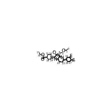 CCOCCn1c(=O)c(N2CCC(C(=O)OCC)CC2)nc2ccc(-c3ccc(F)c(F)c3)nc21